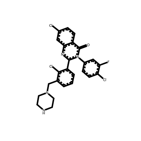 O=c1c2ccc(Cl)cc2nc(-c2cccc(CN3CCNCC3)c2Cl)n1-c1ccc(Cl)c(F)c1